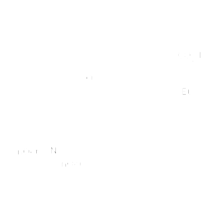 CCCCCCCCN(CCCCCCCC)c1ccc(Oc2ccc(C(CC)C(=O)O)cc2)cc1